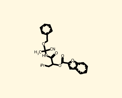 CC(C)CC(OC(=O)c1cc2ccccc2o1)C(=O)NC(C)(C#N)OCc1ccccc1